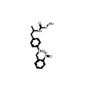 CC(Cc1ccc(OCc2ccccc2[P@H](=O)O)cc1)NC(=O)OC(C)(C)C